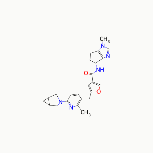 Cc1nc(N2CC3CC3C2)ccc1Cc1cc(C(=O)N[C@@H]2CCc3c2ncn3C)co1